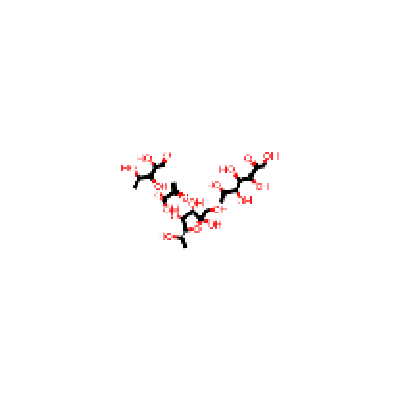 CC(=O)C(=O)O.CC(O)C(O)C(O)C(O)C(=O)CO.CC(O)C(O)C(O)C=O.CC(O)[C@H]1OC(O)(CO)[C@@H](O)[C@@H]1O